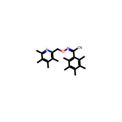 Cc1nc(CON=C(C#N)c2c(C)c(C)c(C)c(C)c2C)c(C)c(C)c1C